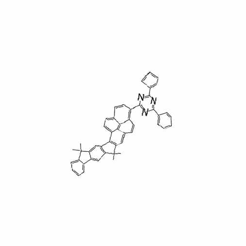 CC1(C)c2ccccc2-c2cc3c(cc21)-c1c(cc2ccc4c(-c5nc(-c6ccccc6)nc(-c6ccccc6)n5)ccc5ccc1c2c54)C3(C)C